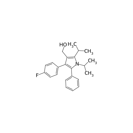 CC(C)c1c(CO)c(-c2ccc(F)cc2)c(-c2ccccc2)n1C(C)C